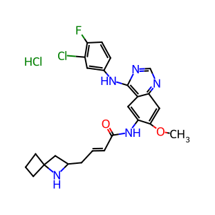 COc1cc2ncnc(Nc3ccc(F)c(Cl)c3)c2cc1NC(=O)C=CCC1CC2(CCC2)N1.Cl